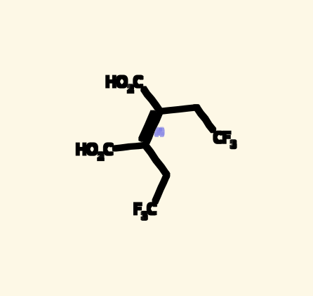 O=C(O)/C(CC(F)(F)F)=C(/CC(F)(F)F)C(=O)O